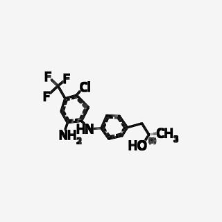 C[C@H](O)Cc1ccc(Nc2cc(Cl)c(C(F)(F)F)cc2N)cc1